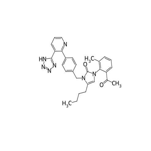 CCCCc1cn(-c2c(C)cccc2C(C)=O)c(=O)n1Cc1ccc(-c2ncccc2-c2nnn[nH]2)cc1